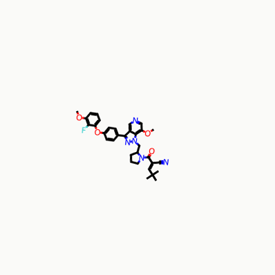 COc1cccc(Oc2ccc(-c3nn(CC4CCCN4C(=O)/C(C#N)=C/C(C)(C)C)c4c(OC)cncc34)cc2)c1F